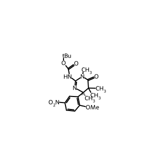 COc1ccc([N+](=O)[O-])cc1[C@@]1(C)N=C(NC(=O)OC(C)(C)C)N(C)C(=O)C1(C)C